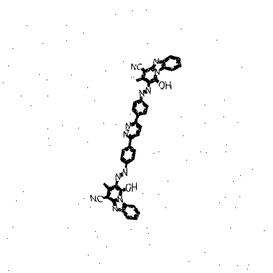 Cc1c(N=Nc2ccc(-c3ccc(-c4ccc(N=Nc5c(C)c(C#N)c6nc7ccccc7n6c5O)cc4)nn3)cc2)c(O)n2c(nc3ccccc32)c1C#N